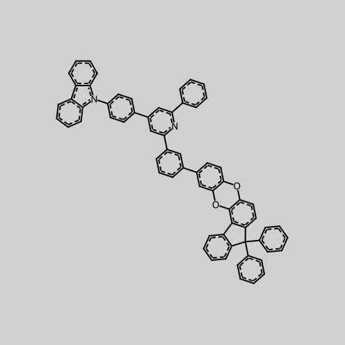 c1ccc(-c2cc(-c3ccc(-n4c5ccccc5c5ccccc54)cc3)cc(-c3cccc(-c4ccc5c(c4)Oc4c(ccc6c4-c4ccccc4C6(c4ccccc4)c4ccccc4)O5)c3)n2)cc1